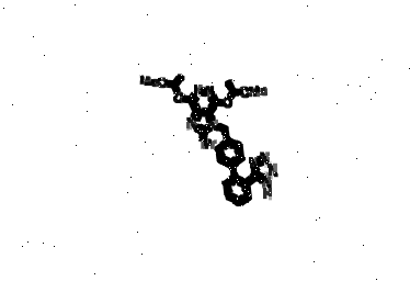 COC(C)Oc1nnc(OC(C)OC)c2c1nc(C(C)C)n2Cc1ccc(-c2ccccc2-c2nnn[nH]2)cc1